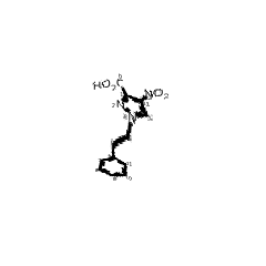 O=C(O)c1nn(CCc2ccccc2)cc1[N+](=O)[O-]